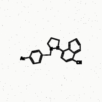 CC(=O)c1ccc(CN2CCCN2c2ccc(C#N)c3ccccc23)cc1